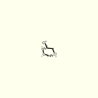 CCCOCCC.ClCCCl